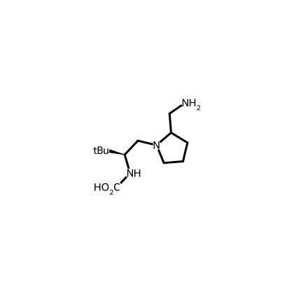 CC(C)(C)[C@@H](CN1CCCC1CN)NC(=O)O